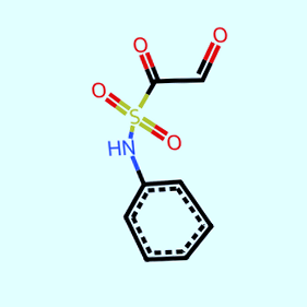 O=CC(=O)S(=O)(=O)Nc1ccccc1